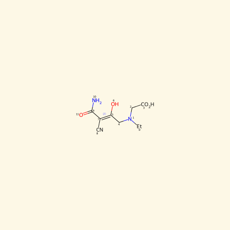 CCN(CC(=O)O)C/C(O)=C(\C#N)C(N)=O